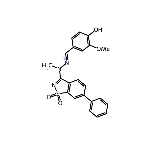 COc1cc(/C=N/N(C)C2=NS(=O)(=O)c3cc(-c4ccccc4)ccc32)ccc1O